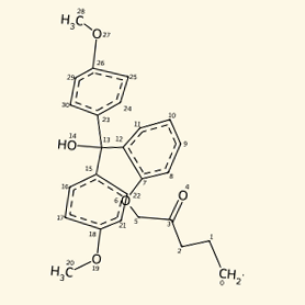 [CH2]CCC(=O)COc1ccccc1C(O)(c1ccc(OC)cc1)c1ccc(OC)cc1